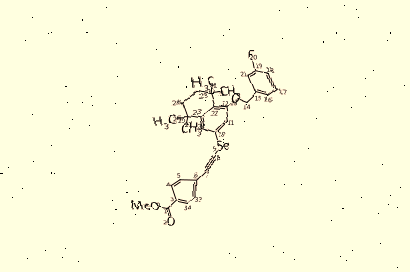 COC(=O)c1ccc(C#C[Se]c2cc(OCc3cccc(F)c3)c3c(c2)C(C)(C)CCC3(C)C)cc1